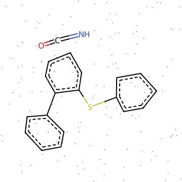 N=C=O.c1ccc(Sc2ccccc2-c2ccccc2)cc1